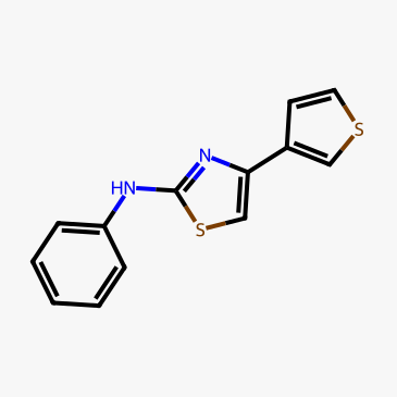 c1ccc(Nc2nc(-c3ccsc3)cs2)cc1